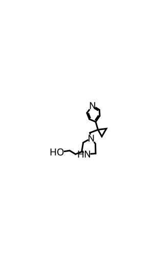 OCCC1CN(CC2(c3ccncc3)CC2)CCN1